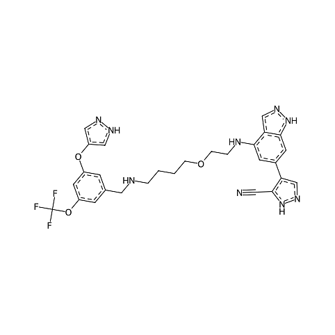 N#Cc1[nH]ncc1-c1cc(NCCOCCCCNCc2cc(Oc3cn[nH]c3)cc(OC(F)(F)F)c2)c2cn[nH]c2c1